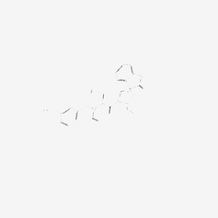 COc1cccc(CN(C(=O)C(F)(F)F)[C@@H](CC(C)C)C(=O)N2C[C@]3(C[C@H]2C#N)C(=O)Nc2ccccc23)c1